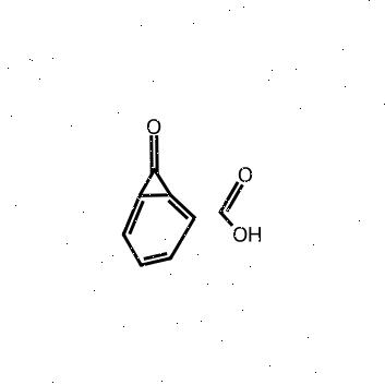 O=CO.O=c1c2ccccc12